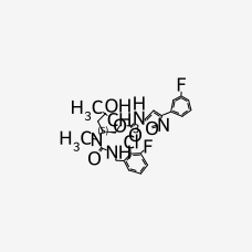 CN(C(=O)NCc1cccc(F)c1Cl)[C@H](COC(=O)Nc1cc(-c2cccc(F)c2)no1)CC(C)(C)O